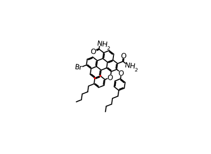 CCCCCc1ccc(Oc2c(C(N)=O)c3ccc(C(N)=O)c4c5ccc(Br)c6cccc(c(c2Oc2ccc(CCCCC)cc2)c34)c65)cc1